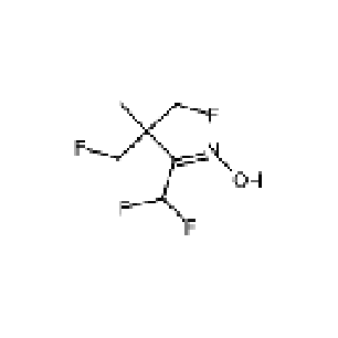 CC(CF)(CF)C(=NO)C(F)F